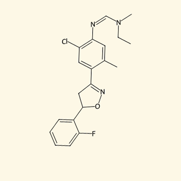 CCN(C)/C=N\c1cc(C)c(C2=NOC(c3ccccc3F)C2)cc1Cl